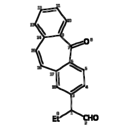 CCC(C=O)c1ccc2c(=O)c3ccccc3ccc2c1